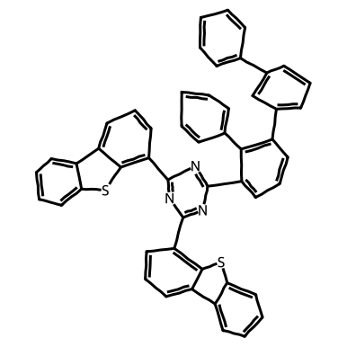 c1ccc(-c2cccc(-c3cccc(-c4nc(-c5cccc6c5sc5ccccc56)nc(-c5cccc6c5sc5ccccc56)n4)c3-c3ccccc3)c2)cc1